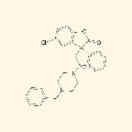 O=C(CC1(c2ccccc2)C(=O)Oc2ccc(Cl)cc21)N1CCN(Cc2ccccc2)CC1